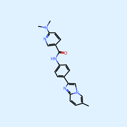 Cc1ccc2nc(-c3ccc(NC(=O)c4ccc(N(C)C)nc4)cc3)cn2c1